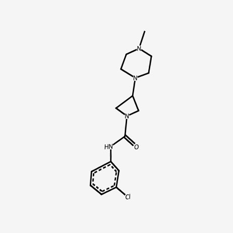 CN1CCN(C2CN(C(=O)Nc3cccc(Cl)c3)C2)CC1